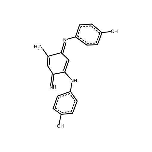 N=C1C=C(N)C(=Nc2ccc(O)cc2)C=C1Nc1ccc(O)cc1